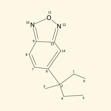 CCC(C)(CC)c1ccc2nonc2c1